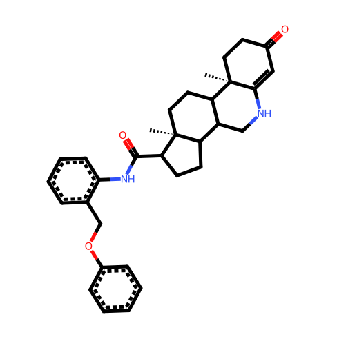 C[C@]12CCC3C(CNC4=CC(=O)CC[C@@]43C)C1CCC2C(=O)Nc1ccccc1COc1ccccc1